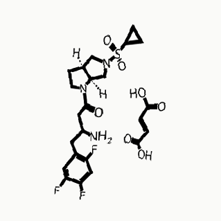 NC(CC(=O)N1CC[C@H]2CN(S(=O)(=O)C3CC3)C[C@H]21)Cc1cc(F)c(F)cc1F.O=C(O)C=CC(=O)O